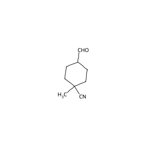 CC1(C#N)CCC(C=O)CC1